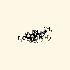 C=N/C(=C\C(=C/C)C(F)(F)F)c1nnc(-c2ncc(C(F)(F)F)cc2S(=O)(=O)CC)n1C